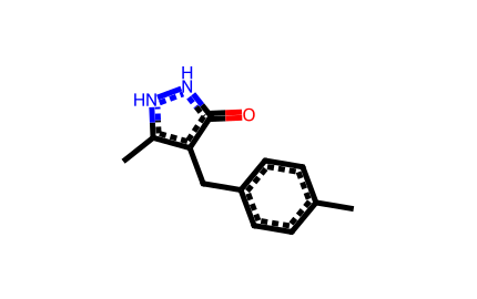 Cc1ccc(Cc2c(C)[nH][nH]c2=O)cc1